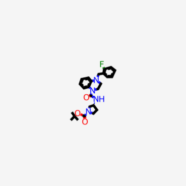 CC(C)(C)OC(=O)N1CC[C@@H](NC(=O)N2CCN(Cc3ccccc3F)c3ccccc32)C1